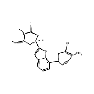 C/C=C1/C[C@](C)(c2cc3cccc(-c4ccc(N)c(O)c4)c3s2)CC(=O)N1C